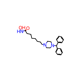 O=C(CCCCCCCN1CCN(C(c2ccccc2)c2ccccc2)CC1)NO